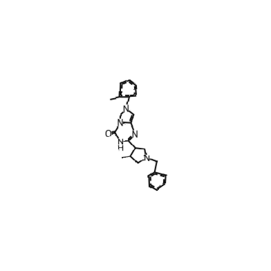 Cc1ccccc1N1C=C2N=C(C3CN(Cc4ccccc4)CC3C)NC(=O)N2C1